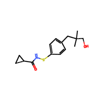 CC(C)(CO)Cc1ccc(SNC(=O)C2CC2)cc1